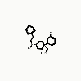 CC(=O)N(CCc1ccccc1)[C@H]1CC[C@@](CN)(C2C=CC=C(Cl)C2)CC1